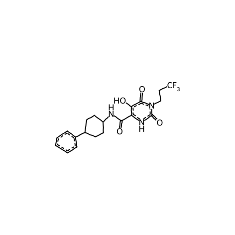 O=C(NC1CCC(c2ccccc2)CC1)c1[nH]c(=O)n(CCC(F)(F)F)c(=O)c1O